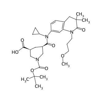 COCCCN1C(=O)C(C)(C)Cc2ccc(N(C(=O)[C@@H]3C[C@H](C(=O)O)CN(C(=O)OC(C)(C)C)C3)C3CC3)cc21